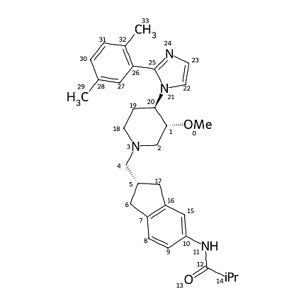 CO[C@@H]1CN(C[C@H]2Cc3ccc(NC(=O)C(C)C)cc3C2)CC[C@H]1n1ccnc1-c1cc(C)ccc1C